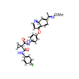 CO/N=C(\C)c1ccc2c(Oc3ccc(NC(=O)C4(C(=O)Nc5ccc(F)cc5)CC4)cc3)ccnc2c1